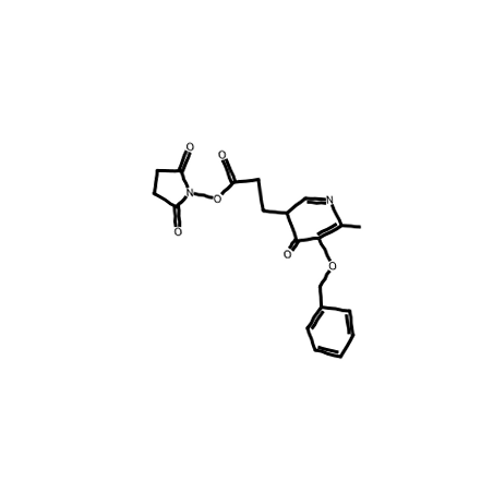 CC1=C(OCc2ccccc2)C(=O)C(CCC(=O)ON2C(=O)CCC2=O)C=N1